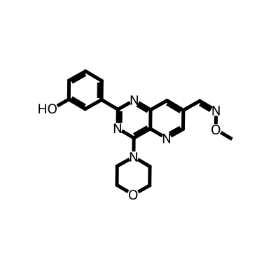 CO/N=C\c1cnc2c(N3CCOCC3)nc(-c3cccc(O)c3)nc2c1